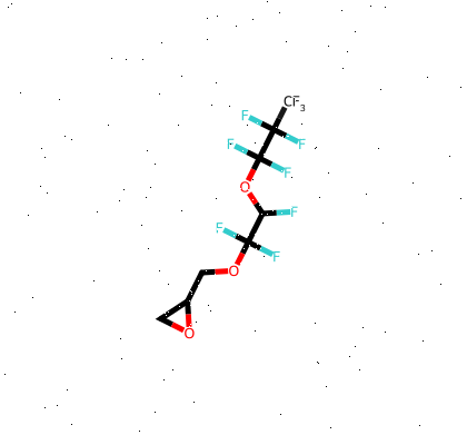 FC(OC(F)(F)C(F)(F)C(F)(F)F)C(F)(F)OCC1CO1